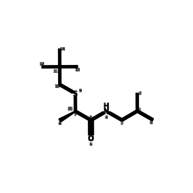 CC(C)CNC(=O)[C@@H](C)SCC(C)(C)C